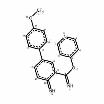 N=C(Oc1ccncc1)n1cc(-c2ccc(OC(F)(F)F)cc2)ccc1=N